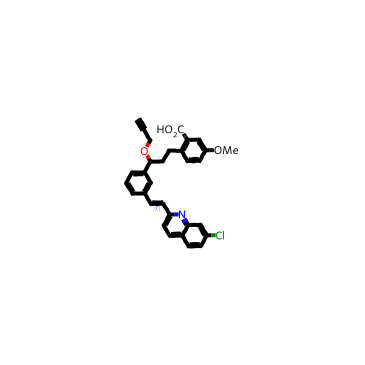 C#CCOC(CCc1ccc(OC)cc1C(=O)O)c1cccc(/C=C/c2ccc3ccc(Cl)cc3n2)c1